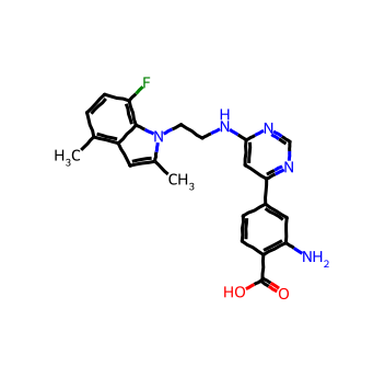 Cc1ccc(F)c2c1cc(C)n2CCNc1cc(-c2ccc(C(=O)O)c(N)c2)ncn1